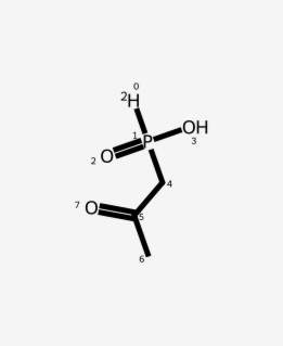 [2H]P(=O)(O)CC(C)=O